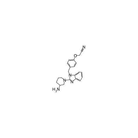 N#CCOc1ccc(Cn2c(N3CCCC(N)C3)nc3ccccc32)cc1